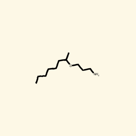 CCCCCCC(C)OCCCN